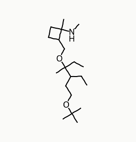 CCC(CCOC(C)(C)C)C(C)(CC)OCC1CCC1(C)NC